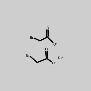 O=C([O-])CBr.O=C([O-])CBr.[Zn+2]